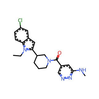 CCn1c(C2CCCN(C(=O)c3cnnc(NC)c3)C2)cc2cc(Cl)ccc21